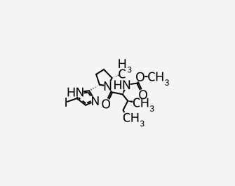 CC[C@H](C)[C@H](NC(=O)OC)C(=O)N1[C@@H](C)CC[C@H]1c1ncc(I)[nH]1